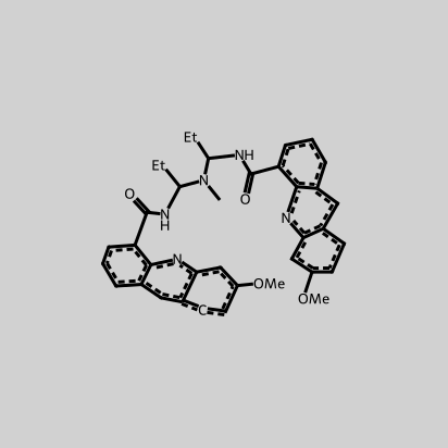 CCC(NC(=O)c1cccc2cc3ccc(OC)cc3nc12)N(C)C(CC)NC(=O)c1cccc2cc3ccc(OC)cc3nc12